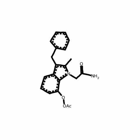 CC(=O)OOc1cccc2c(Cc3ccccc3)c(C)n(CC(N)=O)c12